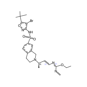 C=N/C(=N\C=C\[C@@H](C)N1CCc2ccc(S(=O)(=O)Nc3noc(C(C)(C)C)c3Br)cc2C1)OCC